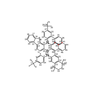 CC(C)(C)c1ccc(N2B3c4ccc5c(sc6ccccc65)c4N(c4ccc(C(C)(C)C)cc4-c4ccccc4)c4cc5ccccc5c(c43)-c3cc4c(cc32)C(C)(C)CCC4(C)C)cc1